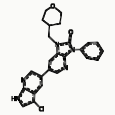 O=c1n(CC2CCOCC2)c2cc(-c3cnc4[nH]cc(Cl)c4c3)cnc2n1-c1ccccc1